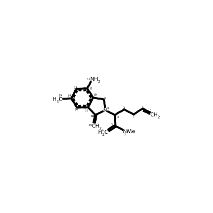 C=CCCC(C(=C)NC)N1Cc2c(N)cc(C)cc2C1=C